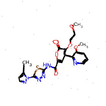 COCCOc1c(-c2ncccc2OC)cc(C(=O)Nc2nnc(-n3nccc3C)s2)oc1=O